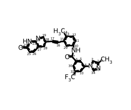 Cc1cn(-c2cc(C(=O)Nc3ccc(C)c(C#Cc4cnc5[nH]c(=O)ccc5c4)c3)cc(C(F)(F)F)c2)cn1